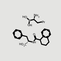 CC(C)C[C@H](N)B(O)O.O=C(N[C@@H](Cc1ccccc1)C(=O)O)C1CCCc2ccccc21